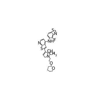 CC1(C)C(c2cc3c(Nc4ccc5scnc5c4F)ccnc3s2)=CCN1CCOC1CCCCO1